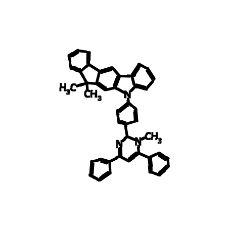 CN1C(c2ccccc2)=CC(c2ccccc2)=NC1c1ccc(-n2c3ccccc3c3cc4c(cc32)C(C)(C)c2ccccc2-4)cc1